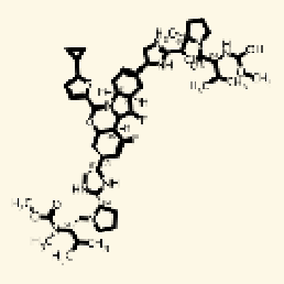 COC(=O)N(C)[C@H](CN1CCC[C@H]1C1NC[C@H]([C@@H]2C=C(F)[C@H]3C(C2)OC(C2=CCC(C4CC4)S2)N2C3C(F)[C@@H]3CC(C4CN=C(C(C)[C@@]5(C)CCCN5C(=O)[C@@H](NC(O)OC)C(C)C)N4)=CC[C@@H]32)N1)C(C)C